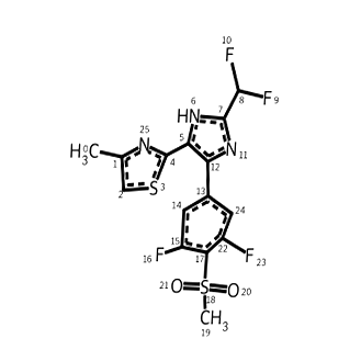 Cc1csc(-c2[nH]c(C(F)F)nc2-c2cc(F)c(S(C)(=O)=O)c(F)c2)n1